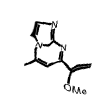 C=C(OC)c1cc(C)n2ccnc2n1